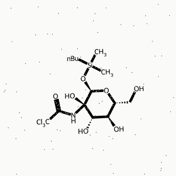 CCCC[Si](C)(C)O[C@H]1O[C@H](CO)[C@@H](O)[C@H](O)[C@]1(O)NC(=O)C(Cl)(Cl)Cl